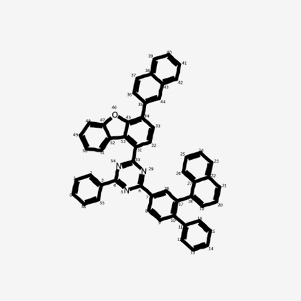 c1ccc(-c2nc(-c3ccc(-c4ccccc4)c(-c4cccc5ccccc45)c3)nc(-c3ccc(-c4ccc5ccccc5c4)c4oc5ccccc5c34)n2)cc1